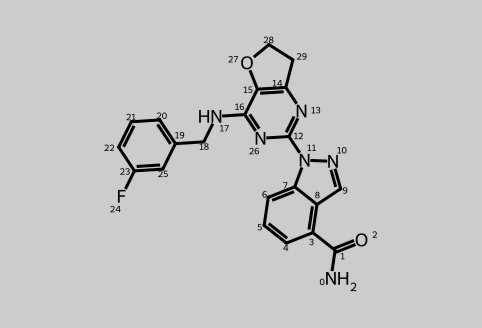 NC(=O)c1cccc2c1cnn2-c1nc2c(c(NCc3cccc(F)c3)n1)OCC2